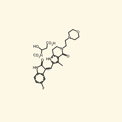 Cc1c(/C=C2\C(=O)Nc3ccc(F)cc32)[nH]c2c1C(=O)N(CCN1CCOCC1)CC2.O=C(O)CC(O)C(=O)O